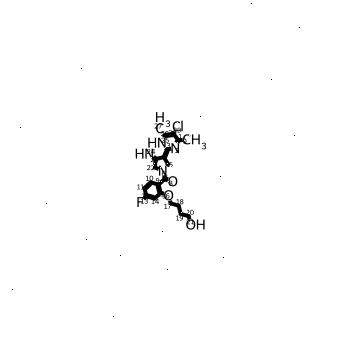 CC1=N/C(=C2\CN(C(=O)c3ccc(F)cc3OCCCCO)CC2=N)NC(C)=C1Cl